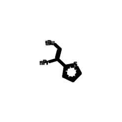 CCC/C(=C\C(C)(C)C)c1cccs1